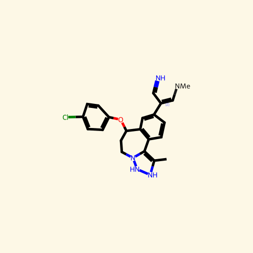 CN/C=C(\C=N)c1ccc2c(c1)C(Oc1ccc(Cl)cc1)CCN1NNC(C)=C21